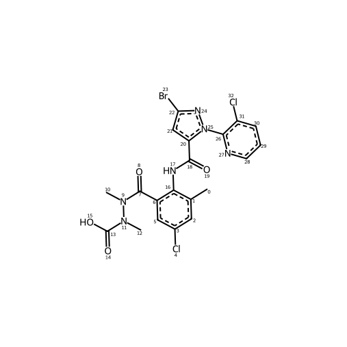 Cc1cc(Cl)cc(C(=O)N(C)N(C)C(=O)O)c1NC(=O)c1cc(Br)nn1-c1ncccc1Cl